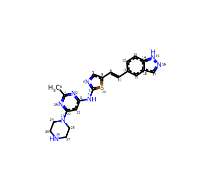 Cc1nc(Nc2ncc(/C=C/c3ccc4[nH]ncc4c3)s2)cc(N2CCNCC2)n1